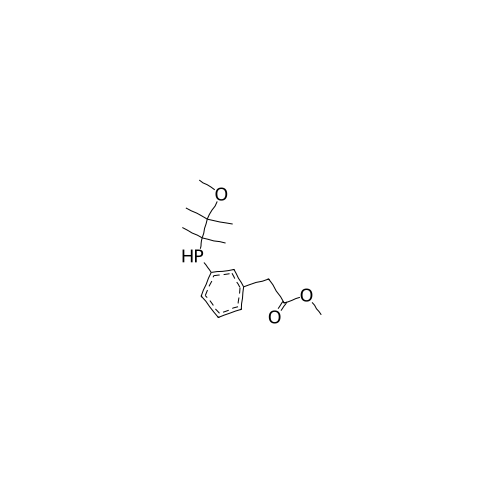 COC(=O)Cc1cccc(PC(C)(C)C(C)(C)OC)c1